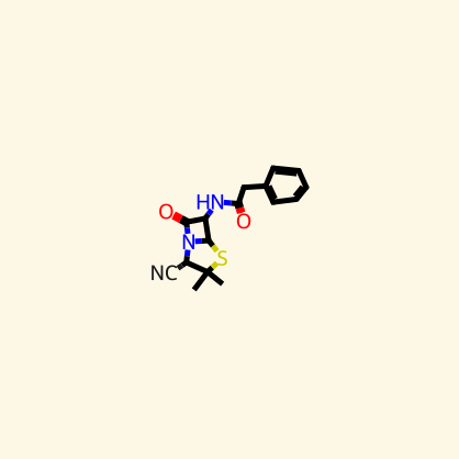 CC1(C)SC2C(NC(=O)Cc3ccccc3)C(=O)N2C1C#N